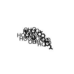 CC(C)=CC1CC(C)(O)C2C3CCC4[C@@]5(C)CC[C@H](O[C@@H]6OC[C@H](O)C(O[C@@H]7OC(CO)[C@@H](O)C(O)[C@@H]7O)[C@@H]6O[C@@H]6O[C@@H](CO)C(O)[C@@H]6O)C(C)(C)C5CC[C@@]4(C)[C@@]34CO[C@@]2(C4)O1